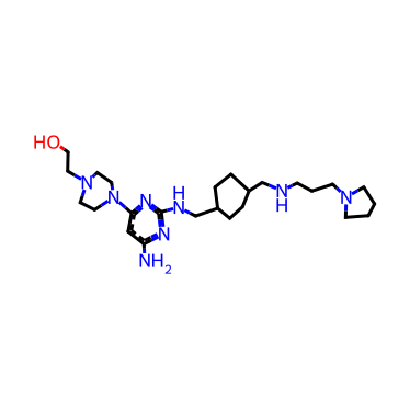 Nc1cc(N2CCN(CCO)CC2)nc(NCC2CCC(CNCCCN3CCCC3)CC2)n1